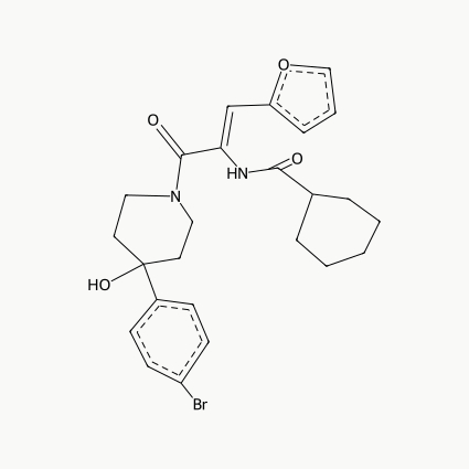 O=C(N/C(=C\c1ccco1)C(=O)N1CCC(O)(c2ccc(Br)cc2)CC1)C1CCCCC1